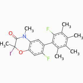 Cc1c(C)c(C)c(-c2cc3c(cc2F)OC(C)(I)C(=O)N3C)c(F)c1C